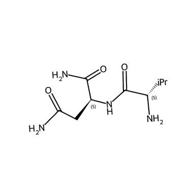 CC(C)[C@H](N)C(=O)N[C@@H](CC(N)=O)C(N)=O